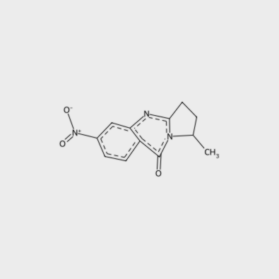 CC1CCc2nc3cc([N+](=O)[O-])ccc3c(=O)n21